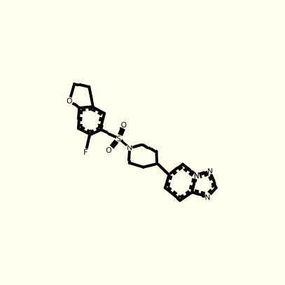 O=S(=O)(c1cc2c(cc1F)OCC2)N1CCC(c2ccc3ncnn3c2)CC1